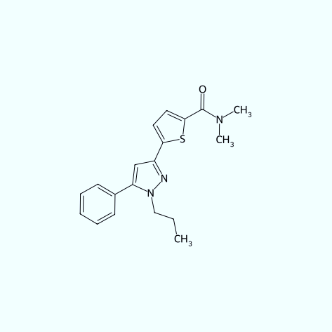 CCCn1nc(-c2ccc(C(=O)N(C)C)s2)cc1-c1ccccc1